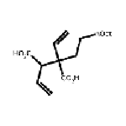 C=CC(C(=O)O)C(C=C)(CCCCCCCCCC)C(=O)O